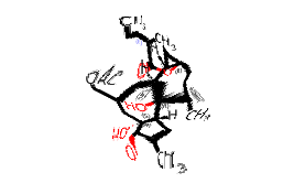 C/C=C(\C)C(=O)O[C@@]12C[C@@H](C)[C@@]3(O)[C@@H](C=C(COC(C)=O)C[C@]4(O)C(=O)C(C)=C[C@@H]34)[C@@H]1C2